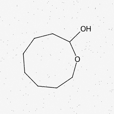 OC1CCCCCCCO1